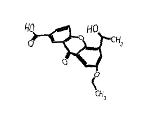 CCOc1cc(C(C)O)c2oc3ccc(C(=O)O)cc3c(=O)c2c1